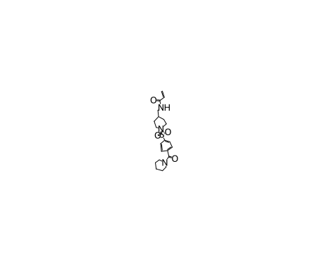 C=CC(=O)NCC1CCN(S(=O)(=O)c2ccc(C(=O)N3CCCCC3)cc2)CC1